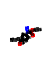 COC(=O)[C@]1(C)CC[C@H](NC(=O)OC(C)(C)C)CC1